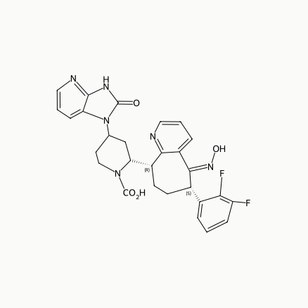 O=C(O)N1CCC(n2c(=O)[nH]c3ncccc32)CC1[C@H]1CC[C@@H](c2cccc(F)c2F)C(=NO)c2cccnc21